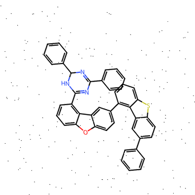 c1ccc(C2=NC(c3ccccc3)NC(c3cccc4oc5ccc(-c6cccc7sc8ccc(-c9ccccc9)cc8c67)cc5c34)=N2)cc1